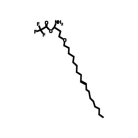 CCCCCCCCC=CCCCCCCCCOCCC(N)OC(=O)C(F)(F)F